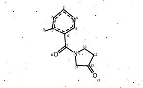 Cc1ccccc1C(=O)N1CCC(=O)C1